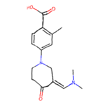 Cc1cc(N2CCC(=O)/C(=C/N(C)C)C2)ccc1C(=O)O